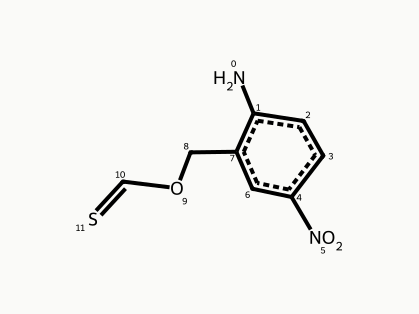 Nc1ccc([N+](=O)[O-])cc1COC=S